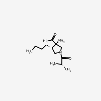 CCCC[C@H]1CN(C(=O)[C@H](C)N)C[C@@]1(N)C(=O)O